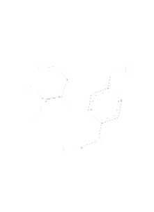 CCCCCCCCCCCC(CC)N(C)C.CCCCCCOc1ccc(C(=O)O)cc1